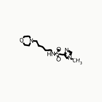 Cn1cnc(S(=O)(=O)NCCCCCN2CCOCC2)c1